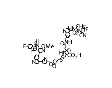 COc1ncc(-c2ccc3nccc(-c4ccc(COC(=O)OCCSSCC(NC(=O)CCC(=O)NCc5ccc6c(C(=O)NC(C)C(=O)N7CC(F)(F)CC7C#N)ccnc6c5)C(=O)O)nc4)c3c2)cc1NS(=O)(=O)c1ccc(F)cc1F